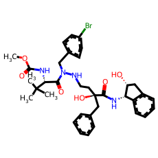 COC(=O)N[C@H](C(=O)N(Cc1ccc(Br)cc1)NCC[C@@](O)(Cc1ccccc1)C(=O)N[C@H]1c2ccccc2C[C@H]1O)C(C)(C)C